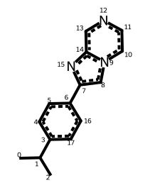 CC(C)c1ccc(-c2cn3ccncc3n2)cc1